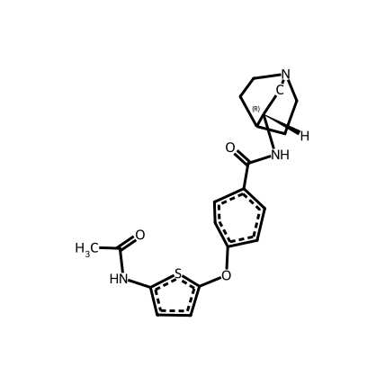 CC(=O)Nc1ccc(Oc2ccc(C(=O)N[C@H]3CN4CCC3CC4)cc2)s1